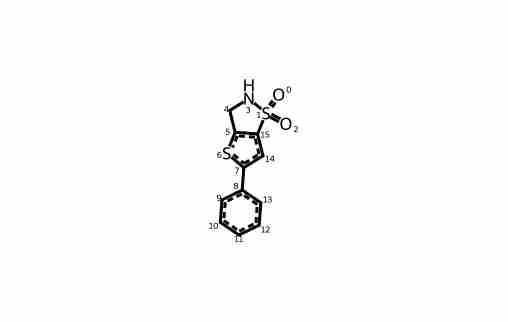 O=S1(=O)NCc2sc(-c3ccccc3)cc21